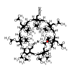 CC(=O)OCC1O[C@@H]2O[C@@H]3C(CN=[N+]=[N-])O[C@H](O[C@@H]4C(COC(C)=O)O[C@@H](O[C@@H]5C(COC(C)=O)O[C@@H](O[C@@H]6C(CN=[N+]=[N-])O[C@@H](O[C@@H]7C(COC(C)=O)O[C@H](O[C@@H]8C(COC(C)=O)O[C@H](O[C@H]1[C@H](OC(C)=O)C2OC(C)=O)C(OC(C)=O)[C@H]8OC(C)=O)C(OC(C)=O)[C@H]7OC(C)=O)C(OC(C)=O)[C@H]6OC(C)=O)C(OC(C)=O)[C@H]5OC(C)=O)C(OC(C)=O)[C@H]4OC(C)=O)C(OC(C)=O)[C@H]3OC(C)=O